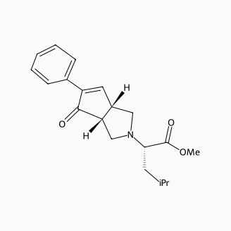 COC(=O)[C@H](CC(C)C)N1C[C@H]2C=C(c3ccccc3)C(=O)[C@H]2C1